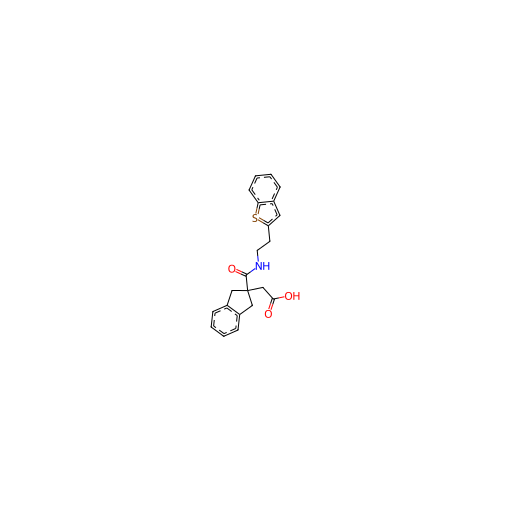 O=C(O)CC1(C(=O)NCCc2cc3ccccc3s2)Cc2ccccc2C1